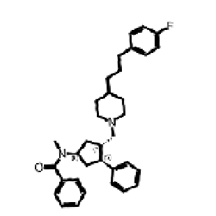 CN(C(=O)c1ccccc1)[C@H]1C[C@H](CN2CCC(CCCc3ccc(F)cc3)CC2)[C@@H](c2ccccc2)C1